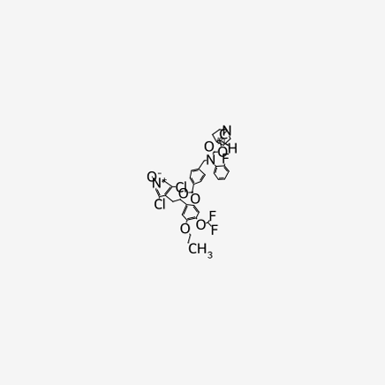 CCCOc1cc(C(Cc2c(Cl)c[n+]([O-])cc2Cl)OC(=O)c2ccc(CN(C(=O)O[C@H]3CN4CCC3CC4)c3ccccc3F)cc2)ccc1OC(F)F